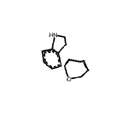 C1CCOCC1.c1ccc2c(c1)CCN2